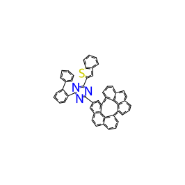 c1ccc(-c2ccccc2-c2nc(-c3cc4ccc5cccc6c7cccc8ccc9cccc(c(c3)c4c56)c9c87)nc(-c3cc4ccccc4s3)n2)cc1